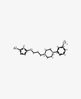 CC(=O)c1ccc(SCCCN2CCN(c3cccc(C(F)(F)F)c3)CC2)s1